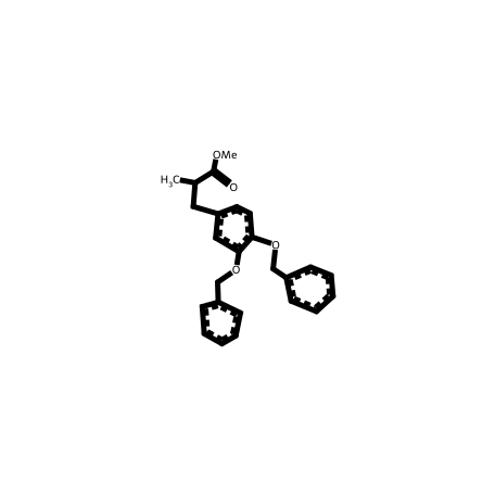 COC(=O)C(C)Cc1ccc(OCc2ccccc2)c(OCc2ccccc2)c1